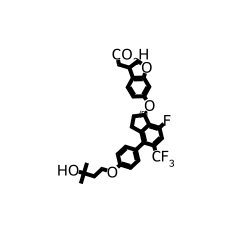 CC(C)(O)CCOc1ccc(-c2c(C(F)(F)F)cc(F)c3c2CC[C@H]3Oc2ccc3c(c2)OCC3CC(=O)O)cc1